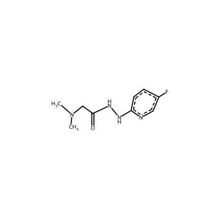 CN(C)CC(=O)NNc1ccc(F)cn1